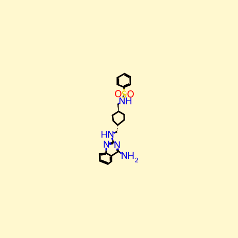 Nc1nc(NC[C@H]2CC[C@H](CNS(=O)(=O)c3ccccc3)CC2)nc2ccccc12